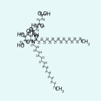 CCCCCCCCCCCCCCCCCCN(C(=O)CCCCCCCCCCCCCCCCC)[C@@H]1O[C@H](CO)[C@@H](O)[C@H](O)[C@@H]1NC(=O)CNC(=O)CCC(=O)O